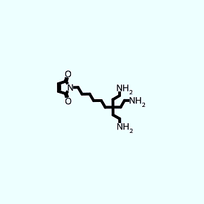 NCCC(CCN)(CCN)CCCCCCN1C(=O)C=CC1=O